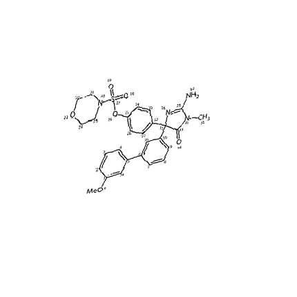 COc1cccc(-c2cccc(C3(c4ccc(OS(=O)(=O)N5CCOCC5)cc4)N=C(N)N(C)C3=O)c2)c1